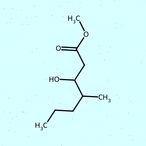 CCCC(C)C(O)CC(=O)OC